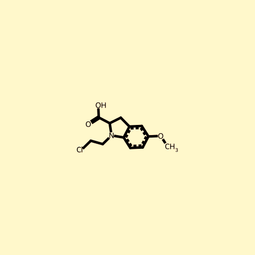 COc1ccc2c(c1)CC(C(=O)O)N2CCCl